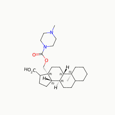 CN1CCN(C(=O)OC[C@]23CC[C@H]4[C@@H](CCC5CCCC[C@@]54C)[C@@H]2CCC3C(=O)O)CC1